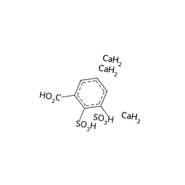 O=C(O)c1cccc(S(=O)(=O)O)c1S(=O)(=O)O.[CaH2].[CaH2].[CaH2]